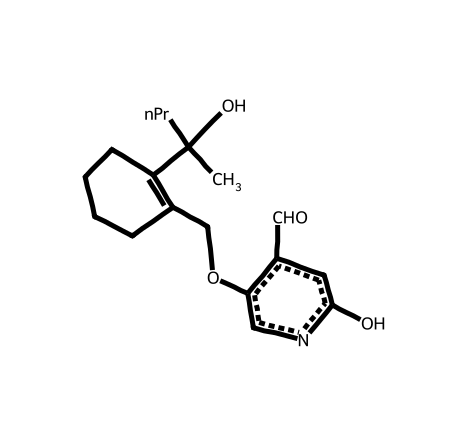 CCCC(C)(O)C1=C(COc2cnc(O)cc2C=O)CCCC1